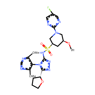 COc1ncnc(OC)c1-n1c(NS(=O)(=O)[C@@H]2C[C@H](OC(C)C)CN(c3ncc(F)cn3)C2)nnc1[C@H]1CCCO1